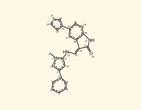 Cn1nc(-c2ccccc2)cc1N/C=C1/C(=O)Nc2ncc(-c3ccsc3)cc21